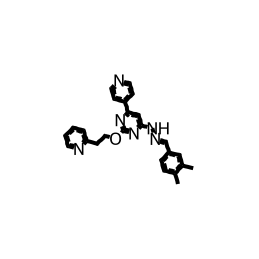 Cc1ccc(/C=N/Nc2cc(-c3ccncc3)nc(OCCc3ccccn3)n2)cc1C